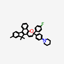 Cc1ccc2c(c1)C(C)(C)c1c3c(c4ccccc4c1-2)OC(c1ccc(F)cc1)(c1ccc(N2CCCCC2)cc1)C=C3